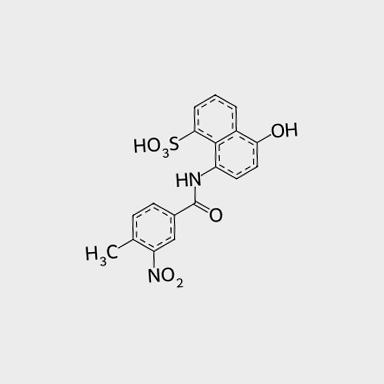 Cc1ccc(C(=O)Nc2ccc(O)c3cccc(S(=O)(=O)O)c23)cc1[N+](=O)[O-]